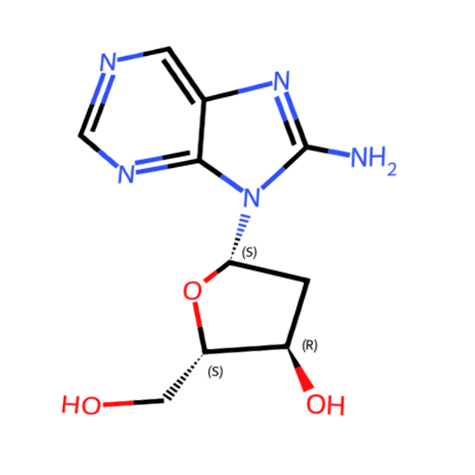 Nc1nc2cncnc2n1[C@@H]1C[C@@H](O)[C@H](CO)O1